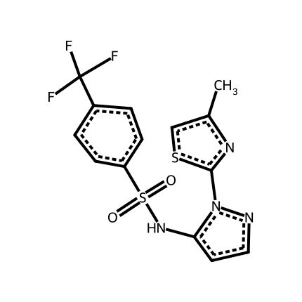 Cc1csc(-n2nccc2NS(=O)(=O)c2ccc(C(F)(F)F)cc2)n1